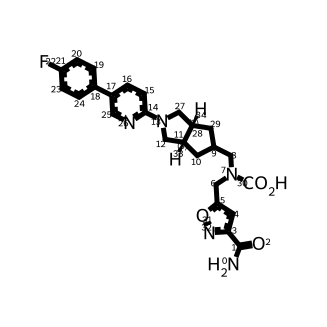 NC(=O)c1cc(CN(CC2C[C@@H]3CN(c4ccc(-c5ccc(F)cc5)cn4)C[C@@H]3C2)C(=O)O)on1